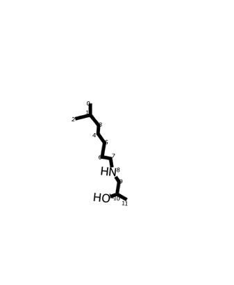 CC(C)CCCCCNCC(C)O